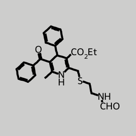 CCOC(=O)C1=C(CSCCNC=O)NC(C)=C(C(=O)c2ccccc2)C1c1ccccc1